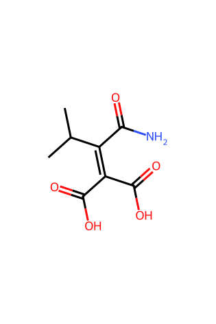 CC(C)C(C(N)=O)=C(C(=O)O)C(=O)O